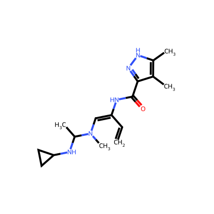 C=C/C(=C\N(C)C(C)NC1CC1)NC(=O)c1n[nH]c(C)c1C